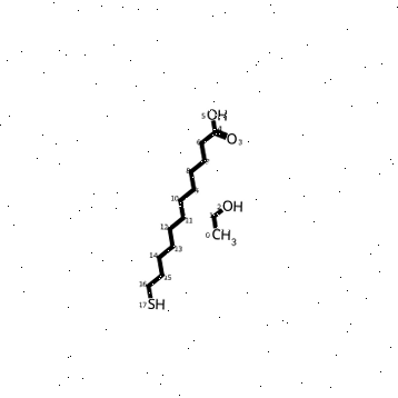 CCO.O=C(O)CCCCCCCCCCCS